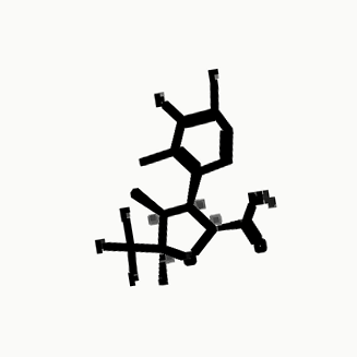 Cc1c([C@H]2[C@H](C(N)=O)O[C@@](C)(C(F)(F)F)[C@H]2C)ccc(F)c1F